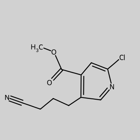 COC(=O)c1cc(Cl)ncc1CCCC#N